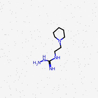 N=C(NN)NCCN1CCCCC1